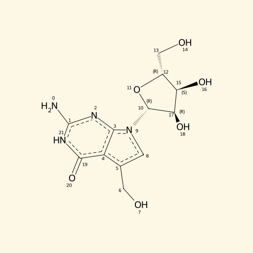 Nc1nc2c(c(CO)cn2[C@@H]2O[C@H](CO)[C@@H](O)[C@H]2O)c(=O)[nH]1